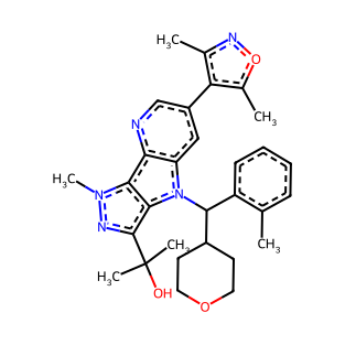 Cc1ccccc1C(C1CCOCC1)n1c2cc(-c3c(C)noc3C)cnc2c2c1c(C(C)(C)O)nn2C